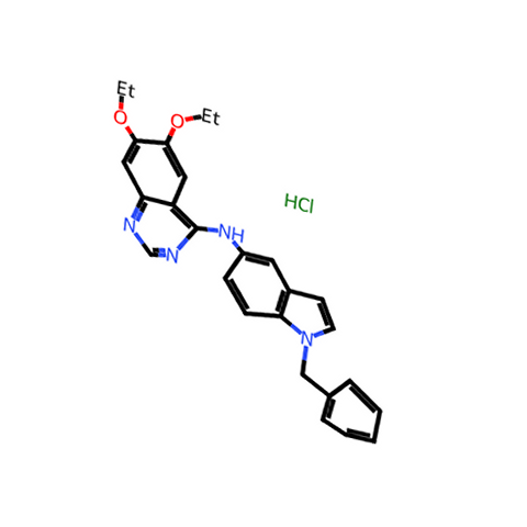 CCOc1cc2ncnc(Nc3ccc4c(ccn4Cc4ccccc4)c3)c2cc1OCC.Cl